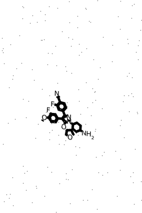 COc1ccc(-c2c(-c3ccc(C#N)c(F)c3)nn(C3CCC(N)CC3)c2OC2CCOC2)cc1F